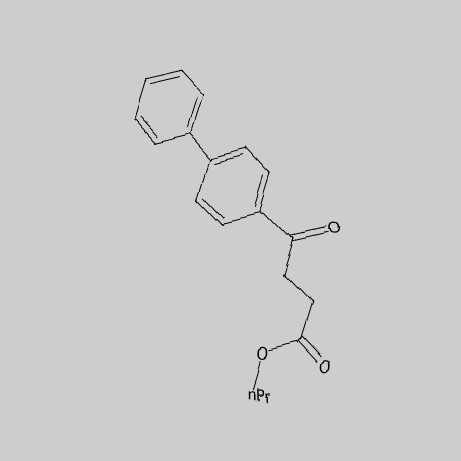 CCCOC(=O)CCC(=O)c1ccc(-c2ccccc2)cc1